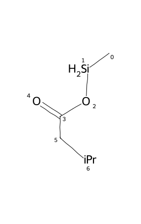 C[SiH2]OC(=O)CC(C)C